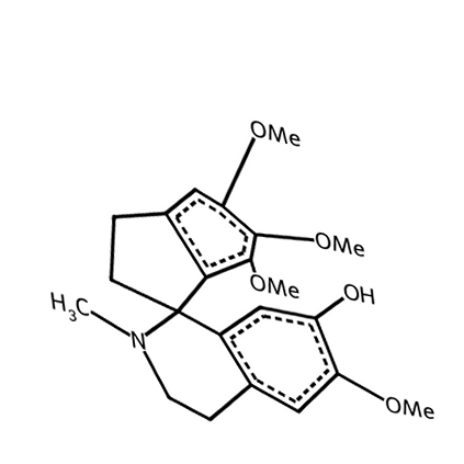 COc1cc2c(cc1O)C1(CCc3cc(OC)c(OC)c(OC)c31)N(C)CC2